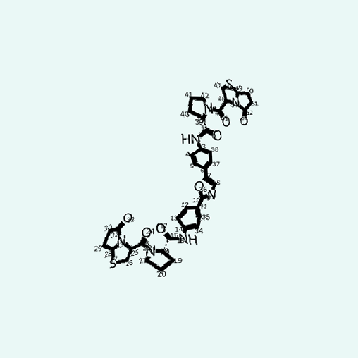 O=C(Nc1ccc(-c2cnc(-c3ccc(NC(=O)[C@@H]4CCCN4C(=O)C4CSC5CCC(=O)N54)cc3)o2)cc1)[C@@H]1CCCN1C(=O)C1CSC2CCC(=O)N21